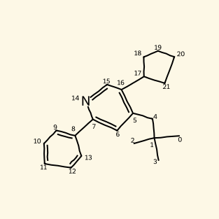 CC(C)(C)Cc1cc(-c2ccccc2)ncc1C1CCCC1